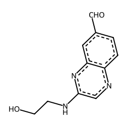 O=Cc1ccc2ncc(NCCO)nc2c1